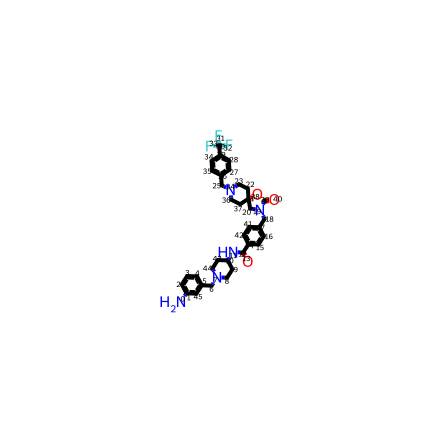 Nc1cccc(CN2CCC(NC(=O)c3ccc(CN4CC5(CCN(Cc6ccc(C(F)(F)F)cc6)CC5)OC4=O)cc3)CC2)c1